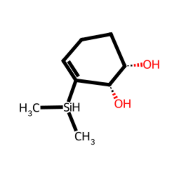 C[SiH](C)C1=CCC[C@H](O)[C@@H]1O